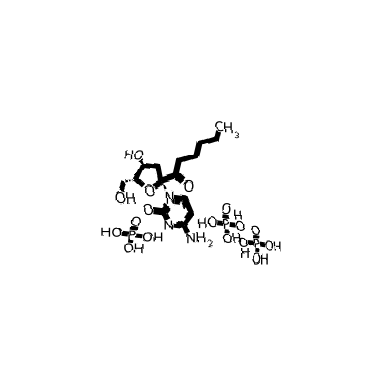 CCCCCC(=O)[C@]1(n2ccc(N)nc2=O)C[C@H](O)[C@@H](CO)O1.O=P(O)(O)O.O=P(O)(O)O.O=P(O)(O)O